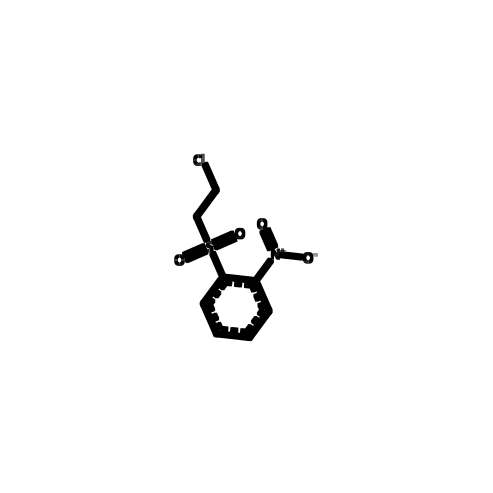 O=[N+]([O-])c1ccccc1S(=O)(=O)CCCl